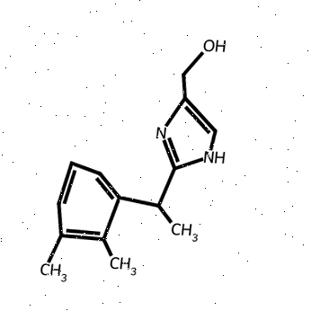 Cc1cccc(C(C)c2nc(CO)c[nH]2)c1C